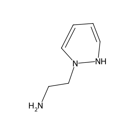 NCCN1C=CC=CN1